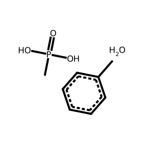 CP(=O)(O)O.Cc1ccccc1.O